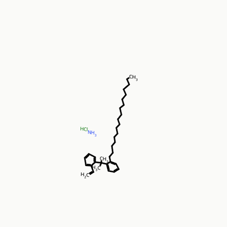 C=Cc1ccccc1C(C)(C)c1ccccc1CCCCCCCCCCCCCCCCCC.Cl.N